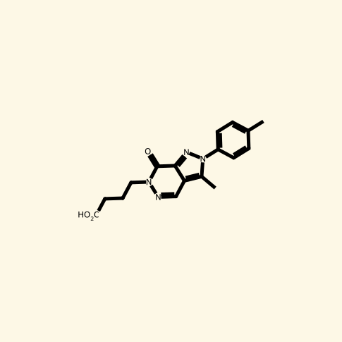 Cc1ccc(-n2nc3c(=O)n(CCCC(=O)O)ncc3c2C)cc1